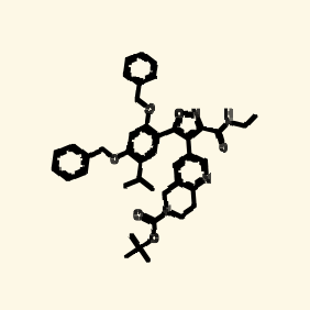 CCNC(=O)c1noc(-c2cc(C(C)C)c(OCc3ccccc3)cc2OCc2ccccc2)c1-c1cnc2c(c1)CN(C(=O)OC(C)(C)C)CC2